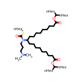 CCCCCCSC(=O)N(CCCN(C)C)C(CCCCCCCCC(=O)OC(CCCCCC)CCCCCC)CCCCCCCCC(=O)OC(CCCCCC)CCCCCC